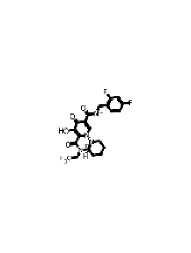 O=C(NCc1ccc(F)cc1F)c1cn2c(c(O)c1=O)C(=O)N(CC(F)(F)F)[C@@H]1CCCCN12